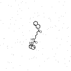 O=C(NCCCCC(=O)N1CCC2CCCC=C2C1)NC12CC3CC(CC(C3)C1)C2